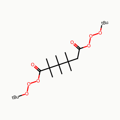 CC(C)(C)OOOC(=O)CC(C)(C)C(C)(C)C(C)(C)C(=O)OOOC(C)(C)C